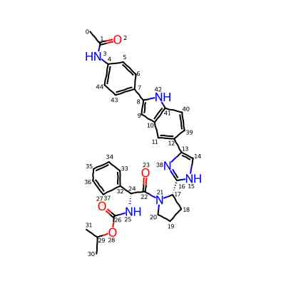 CC(=O)Nc1ccc(-c2cc3cc(-c4c[nH]c([C@@H]5CCCN5C(=O)[C@H](NC(=O)OC(C)C)c5ccccc5)n4)ccc3[nH]2)cc1